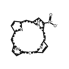 O=[N+]([O-])c1cc2cc3nc(cc4ccc(cc5nc(cc1[nH]2)C=C5)[nH]4)C=C3